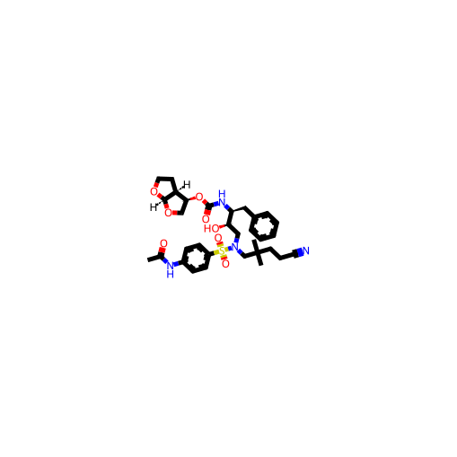 CC(=O)Nc1ccc(S(=O)(=O)N(C[C@@H](O)[C@H](Cc2ccccc2)NC(=O)O[C@H]2CO[C@H]3OCC[C@H]32)CC(C)(C)CCC#N)cc1